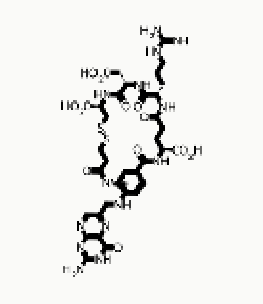 CNC(=O)CCSSC[C@H](NC(=O)[C@H](CC(=O)O)NC(=O)[C@H](CCCNC(=N)N)NC(=O)CC[C@H](NC(=O)c1ccc(NCc2cnc3nc(N)[nH]c(=O)c3n2)cc1)C(=O)O)C(=O)O